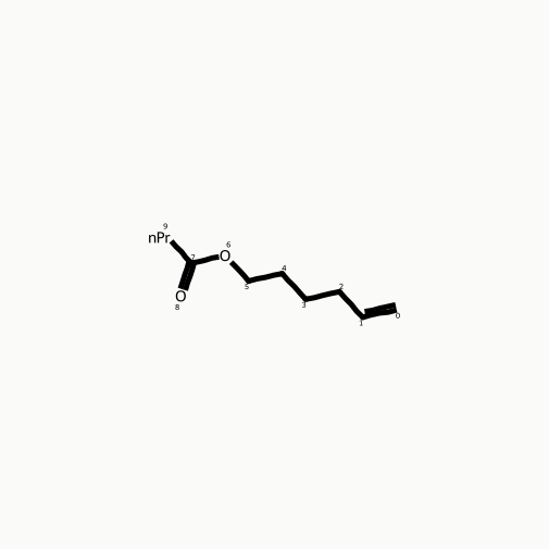 C=CCCCCOC(=O)CCC